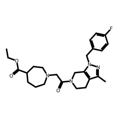 CCOC(=O)C1CCCN(CC(=O)N2CCc3c(C)nn(Cc4ccc(F)cc4)c3C2)CC1